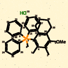 COc1c(C)c(C)c(P(C)(c2ccccc2)(c2ccccc2)c2ccccc2)c2c1CCCC2.Cl